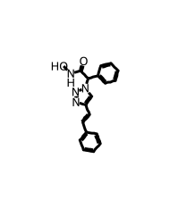 O=C(NO)C(c1ccccc1)n1cc(C=Cc2ccccc2)nn1